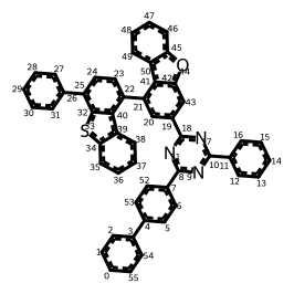 c1ccc(-c2ccc(-c3nc(-c4ccccc4)nc(-c4cc(-c5ccc(-c6ccccc6)c6sc7ccccc7c56)c5c(c4)oc4ccccc45)n3)cc2)cc1